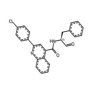 O=C[C@H](Cc1ccccc1)NC(=O)c1cc(-c2ccc(Cl)cc2)nc2ccccc12